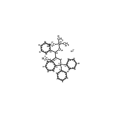 CCC(C[P+](c1ccccc1)(c1ccccc1)c1ccccc1)C(O[Si](C)(C)C)c1ccccc1.[I-]